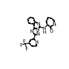 O=c1nccccc1Nc1nc2ccccc2c2nc(-c3cc(C(F)(F)F)ccn3)nn12